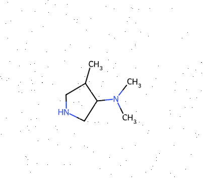 CC1CNCC1N(C)C